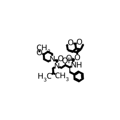 COC1CCN(C(=O)N(CC(C)C)C[C@@H](O)[C@H](Cc2ccccc2)NC(=O)OC2=C3COC4OCC2CC34)CC1